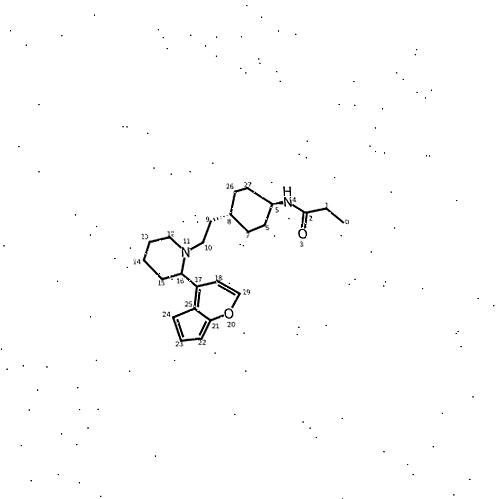 CCC(=O)N[C@H]1CC[C@H](CCN2CCCCC2c2ccoc3cccc2-3)CC1